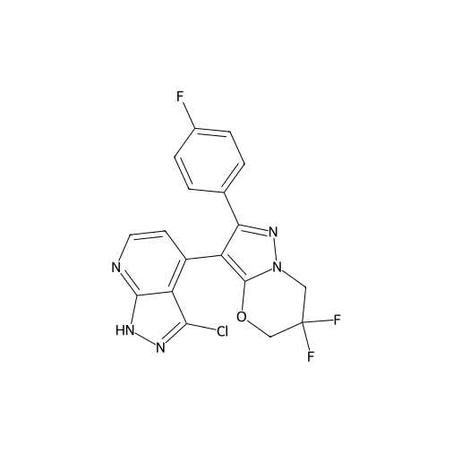 Fc1ccc(-c2nn3c(c2-c2ccnc4[nH]nc(Cl)c24)OCC(F)(F)C3)cc1